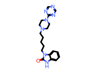 O=c1[nH]c2ccccc2n1CCCCCN1CCN(c2ncncn2)CC1